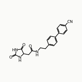 N#Cc1ccc(-c2ccc(CCNC(=O)CC3NC(=O)NC3=O)cc2)cc1